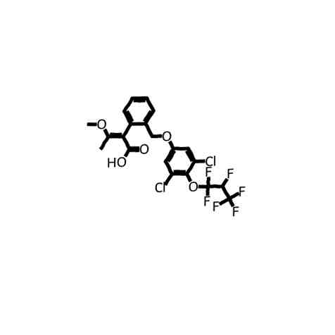 COC(C)=C(C(=O)O)c1ccccc1COc1cc(Cl)c(OC(F)(F)C(F)C(F)(F)F)c(Cl)c1